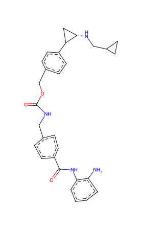 Nc1ccccc1NC(=O)c1ccc(CNC(=O)OCc2ccc(C3C[C@@H]3NCC3CC3)cc2)cc1